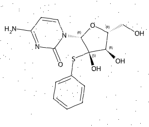 Nc1ccn([C@@H]2O[C@H](CO)[C@@H](O)[C@]2(O)Sc2ccccc2)c(=O)n1